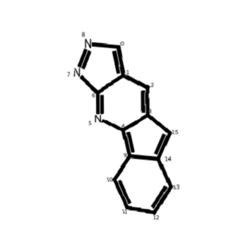 C1=c2cc3c(nc2N=N1)=c1ccccc1=C3